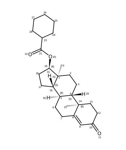 C[C@]12CC[C@H]3[C@@H](CCC4=CC(=O)CC[C@@]43C)[C@@H]1CC[C@H]2OC(=O)C1CCCCC1